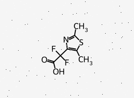 Cc1nc(C(F)(F)C(=O)O)c(C)s1